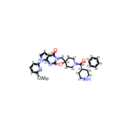 COc1cccc(-n2ccc3c(=O)n(CC4(O)CCN(C(=O)[C@@H]5CCNC[C@H]5c5ccccc5)CC4)cnc32)n1